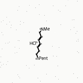 CCCCCCC/C=C/C=C/CNC.Cl